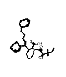 CCC(C)(C)C(=O)C(=O)N1CCCC(C(CCCCc2ccccc2)c2ccccc2)C1C(O)=S